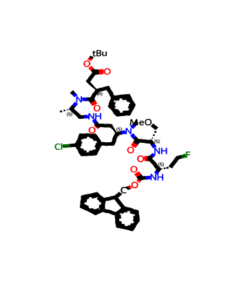 COC[C@H](NC(=O)[C@H](CCF)NC(=O)OCC1c2ccccc2-c2ccccc21)C(=O)N(C)[C@H](CC(=O)NC[C@H](C)N(C)C(=O)[C@@H](CC(=O)OC(C)(C)C)Cc1ccccc1)Cc1ccc(Cl)cc1